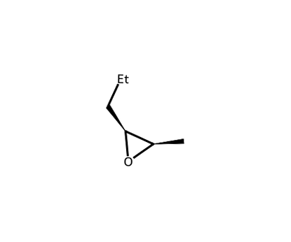 CCC[C@@H]1O[C@@H]1C